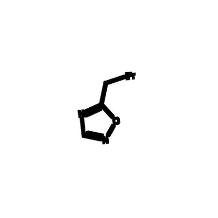 CC(C)Cc1ncno1